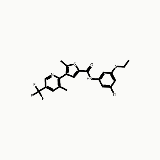 CCSc1cc(Cl)cc(NC(=O)c2cc(-c3ncc(C(F)(F)F)cc3C)c(C)s2)c1